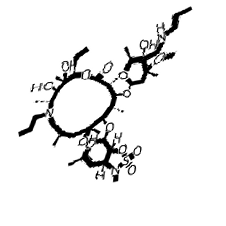 CCCNC[C@]1(O)[C@H](C)O[C@@H](O[C@H]2[C@H](C)[C@@H](O[C@@H]3O[C@H](C)C[C@H]4[C@H]3OS(=O)(=O)N4C)[C@](C)(O)C[C@@H](C)CN(CCC)[C@H](C)[C@@H](O)[C@](C)(O)[C@@H](CC)OC(=O)[C@@H]2C)C[C@@]1(C)OC